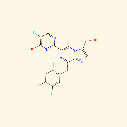 Cc1cc(F)c(Cc2nc(-c3ncc(F)c(O)n3)cn3c(CO)cnc23)cc1F